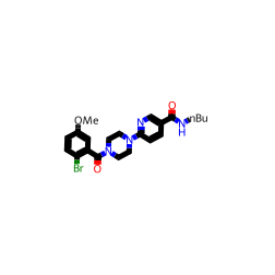 CCCCNC(=O)c1ccc(N2CCN(C(=O)c3cc(OC)ccc3Br)CC2)nc1